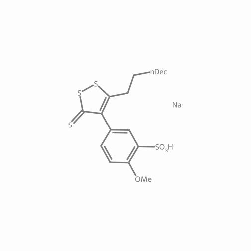 CCCCCCCCCCCCc1ssc(=S)c1-c1ccc(OC)c(S(=O)(=O)O)c1.[Na]